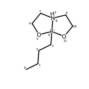 CCCC[B-]12OCC[NH+]1CCO2